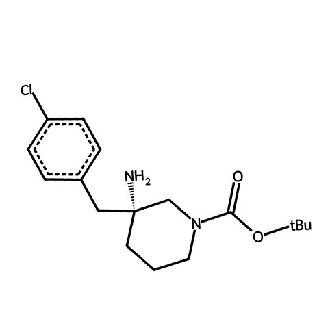 CC(C)(C)OC(=O)N1CCC[C@@](N)(Cc2ccc(Cl)cc2)C1